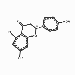 O=C1C[C@H](c2ccc(O)cc2)Oc2cc(O)cc(O)c21